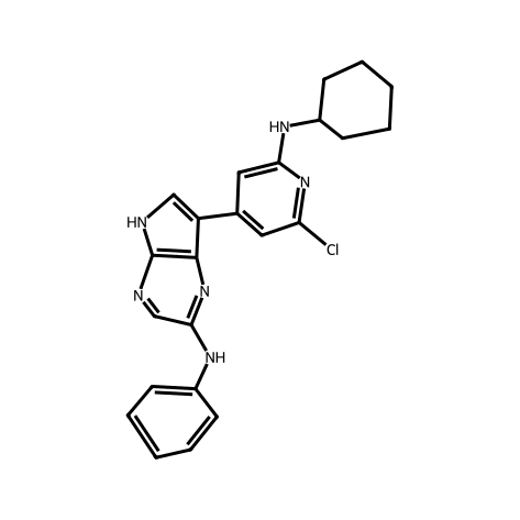 Clc1cc(-c2c[nH]c3ncc(Nc4ccccc4)nc23)cc(NC2CCCCC2)n1